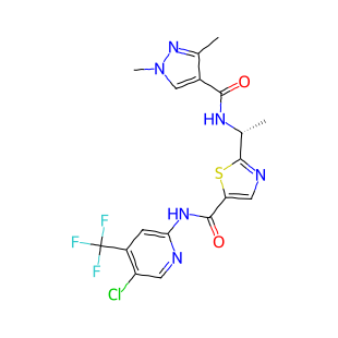 Cc1nn(C)cc1C(=O)N[C@H](C)c1ncc(C(=O)Nc2cc(C(F)(F)F)c(Cl)cn2)s1